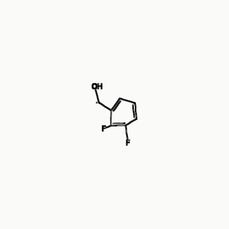 O[CH]c1cccc(F)c1F